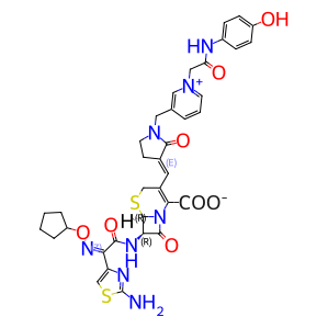 Nc1nc(/C(=N/OC2CCCC2)C(=O)N[C@@H]2C(=O)N3C(C(=O)[O-])=C(/C=C4\CCN(Cc5ccc[n+](CC(=O)Nc6ccc(O)cc6)c5)C4=O)CS[C@H]23)cs1